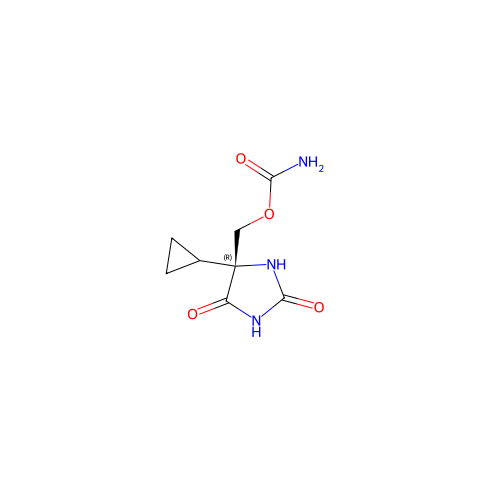 NC(=O)OC[C@@]1(C2CC2)NC(=O)NC1=O